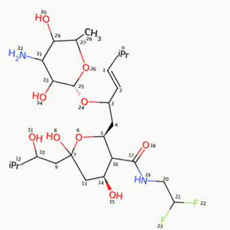 CC(C)/C=C/C(C[C@@H]1OC(O)(CC(O)C(C)C)C[C@H](O)C1C(=O)NCC(F)F)O[C@H]1OC(C)C(O)C(N)C1O